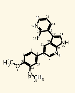 COc1ccc(-c2cnc3[nH]cc(-c4cccnc4F)c3c2)cc1OC